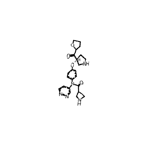 O=C(C1CNC1)N(c1ccc(O[C@]2(C(=O)C3CCCO3)CCNC2)cc1)c1ccnnc1